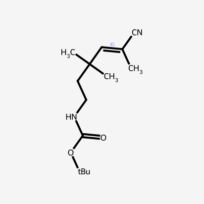 C/C(C#N)=C\C(C)(C)CCNC(=O)OC(C)(C)C